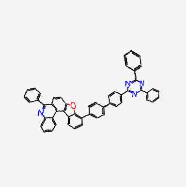 c1ccc(-c2nc(-c3ccccc3)nc(-c3ccc(-c4ccc(-c5cccc6c5oc5ccc7c(-c8ccccc8)nc8ccccc8c7c56)cc4)cc3)n2)cc1